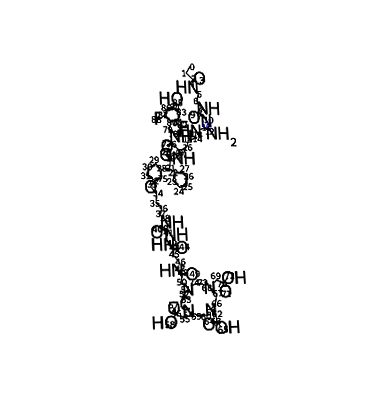 CCC(=O)NCCNC(=O)/N=C(/N)NCCC[C@@H](NC(=O)C(c1ccccc1)c1cccc(OCCCCNC(=O)NNC(=O)CCNC(=O)CN2CCN(CC(=O)O)CCN(CC(=O)O)CCN(CC(=O)O)CC2)c1)C(=O)NCc1c(F)cc(O)cc1F